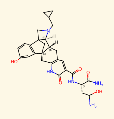 NC(=O)[C@H](CC(N)O)NC(=O)c1cc2c([nH]c1=O)C[C@@]13CC4(CN(CC5CC5)[C@H]4[C@@H]1C2)c1ccc(O)cc13